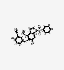 N#Cc1cc(Sc2c(F)cc3c(ccn3S(=O)(=O)c3ccccc3)c2CBr)ccc1F